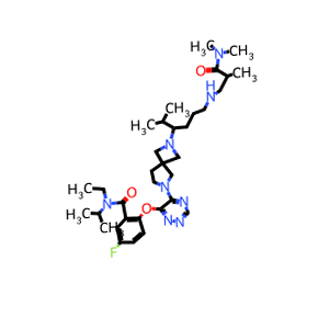 CCN(C(=O)c1cc(F)ccc1Oc1nncnc1N1CCC2(C1)CN(C(CCCNCC(C)C(=O)N(C)C)C(C)C)C2)C(C)C